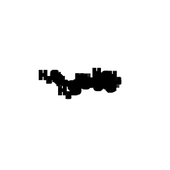 COc1cc2c(Oc3ccc(NC(=O)c4nn(-c5cccc(F)c5)c(=O)n(C)c4=O)cc3F)ccnc2cc1OCCCCN1CCN(C)CC1